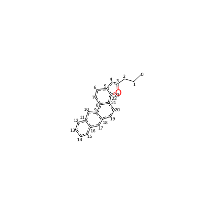 CCCc1cc2ccc3c4cc5ccccc5cc4ccc3c2o1